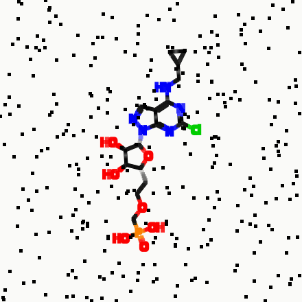 O=P(O)(O)COCC[C@H]1O[C@@H](n2ncc3c(NCC4CC4)nc(Cl)nc32)[C@H](O)[C@@H]1O